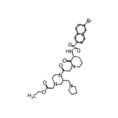 CCOC(=O)CN1CCN(C(=O)CN2CCC[C@H](NS(=O)(=O)c3ccc4cc(Br)ccc4c3)C2=O)C(CN2CCCC2)C1